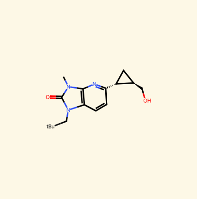 Cn1c(=O)n(CC(C)(C)C)c2ccc([C@@H]3C[C@H]3CO)nc21